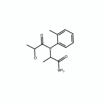 Cc1ccccc1N(C(=O)C(C)Cl)C(C)C(N)=O